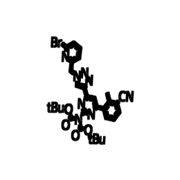 Cc1c(C#N)cccc1-c1cc(-c2cn(Cc3cccc(Br)n3)nn2)nc(N(C(=O)OC(C)(C)C)C(=O)OC(C)(C)C)n1